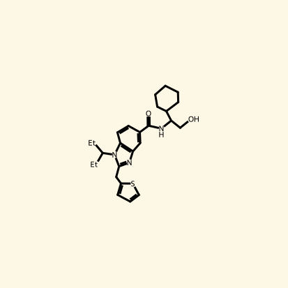 CCC(CC)n1c(Cc2cccs2)nc2cc(C(=O)NC(CO)C3CCCCC3)ccc21